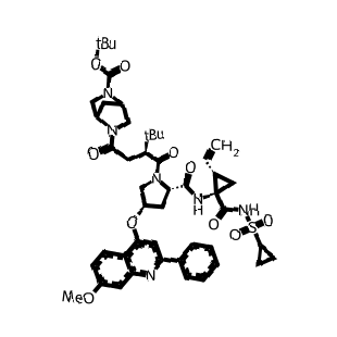 C=C[C@@H]1C[C@]1(NC(=O)[C@@H]1C[C@@H](Oc2cc(-c3ccccc3)nc3cc(OC)ccc23)CN1C(=O)[C@@H](CC(=O)N1CC2CC1CN2C(=O)OC(C)(C)C)C(C)(C)C)C(=O)NS(=O)(=O)C1CC1